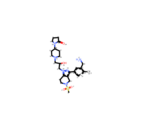 CS(=O)(=O)N1CCc2c(c(-c3ccc(C(F)(F)F)c(CN)c3)nn2CC(O)CN2CCC(N3CCCC3=O)CC2)C1